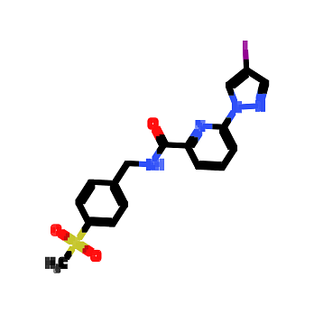 CS(=O)(=O)c1ccc(CNC(=O)c2cccc(-n3cc(I)cn3)n2)cc1